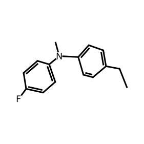 CCc1ccc(N(C)c2ccc(F)cc2)cc1